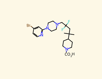 CC(C)(CC(F)(F)CN1CCN(c2cc(Br)ccn2)CC1)C1CCN(C(=O)O)CC1